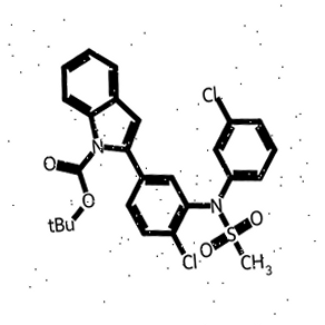 CC(C)(C)OC(=O)n1c(-c2ccc(Cl)c(N(c3cccc(Cl)c3)S(C)(=O)=O)c2)cc2ccccc21